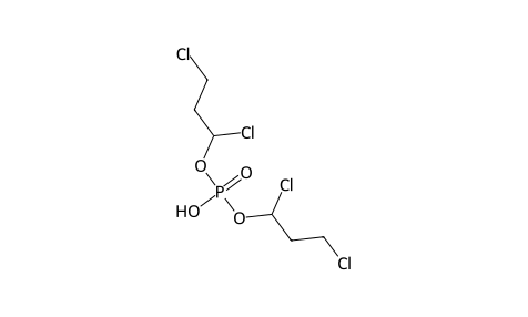 O=P(O)(OC(Cl)CCCl)OC(Cl)CCCl